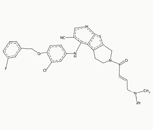 CC(C)N(C)CC=CC(=O)N1CCc2c(sc3ncc(C#N)c(Nc4ccc(OCc5cccc(F)c5)c(Cl)c4)c23)C1